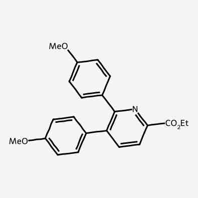 CCOC(=O)c1ccc(-c2ccc(OC)cc2)c(-c2ccc(OC)cc2)n1